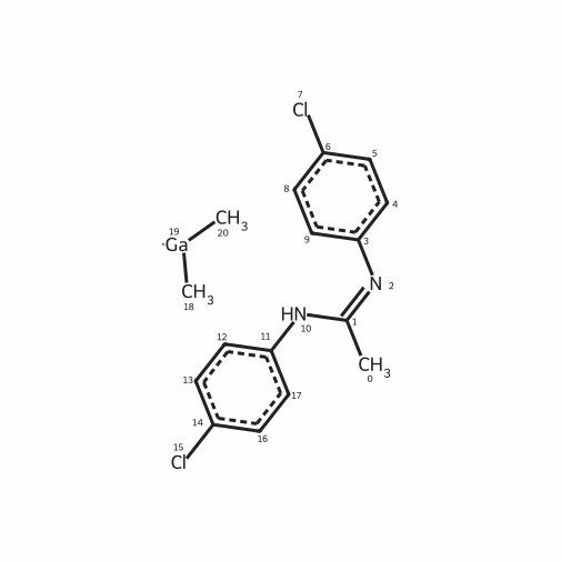 CC(=Nc1ccc(Cl)cc1)Nc1ccc(Cl)cc1.[CH3][Ga][CH3]